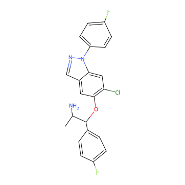 CC(N)C(Oc1cc2cnn(-c3ccc(F)cc3)c2cc1Cl)c1ccc(F)cc1